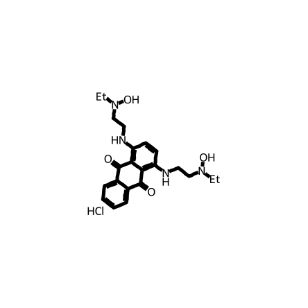 CCN(O)CCNc1ccc(NCCN(O)CC)c2c1C(=O)c1ccccc1C2=O.Cl